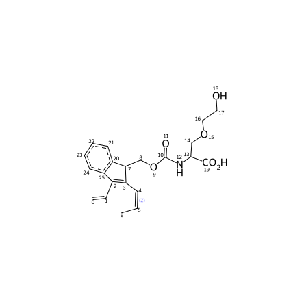 C=CC1=C(/C=C\C)C(COC(=O)NC(COCCO)C(=O)O)c2ccccc21